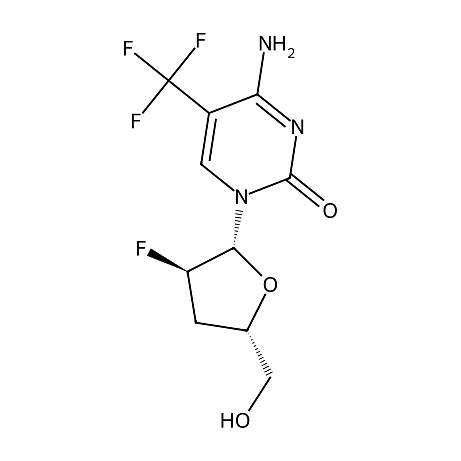 Nc1nc(=O)n([C@@H]2O[C@H](CO)C[C@H]2F)cc1C(F)(F)F